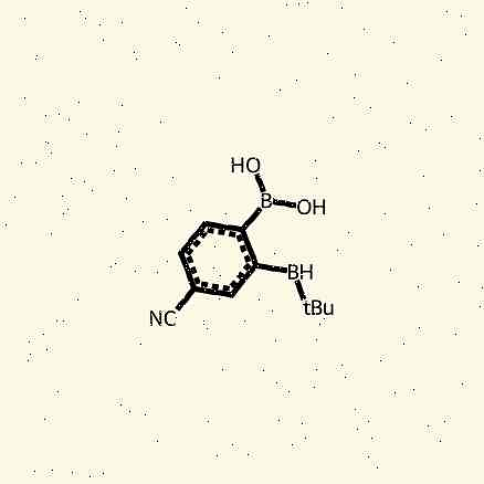 CC(C)(C)Bc1cc(C#N)ccc1B(O)O